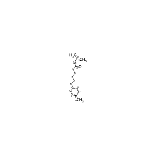 Cc1ccc(CCCCCC(=O)OC(C)C)cc1